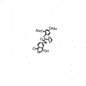 COc1ccc(CN(c2nccs2)S(=O)(=O)c2ccc3c(Cl)ncc(O)c3c2)c(OC)c1